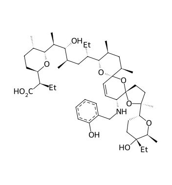 CC[C@@H](C[C@@H](C)[C@@H](O)[C@H](C)[C@@H]1O[C@@H]([C@@H](CC)C(=O)O)CC[C@@H]1C)[C@H]1O[C@]2(C=C[C@@H](NCc3ccccc3O)[C@]3(CC[C@@](C)([C@H]4CC[C@](O)(CC)[C@H](C)O4)O3)O2)[C@H](C)C[C@@H]1C